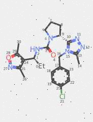 CC[C@H](NC(=O)N1CCC[C@@H]1c1nnc(C)n1Cc1ccc(Cl)cc1)c1c(C)noc1C